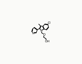 Cc1c(-c2cccnc2)n(COCCO)c2ccc(Cl)cc12